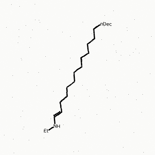 CCCCCCCCCCCCCCCCCCCCC/C=C/NCC